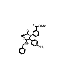 C#CC(=O)N(c1cccc(C(=O)OC)c1)C(C(=O)NCc1ccccc1)c1ccc(N)cc1